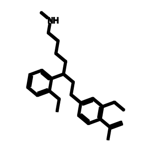 C=C(C)c1ccc(CCC(CCCCNC)c2ccccc2CC)cc1CC